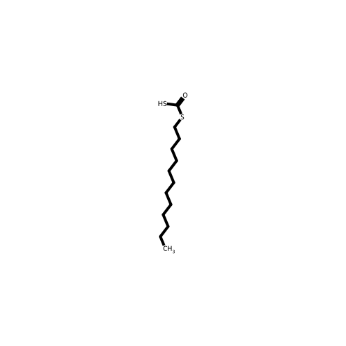 CCCCCCCCCCCCSC(=O)S